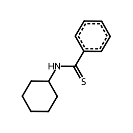 S=C(NC1CCCCC1)c1ccccc1